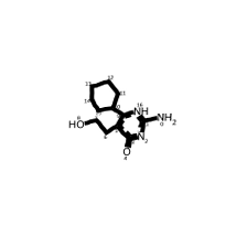 Nc1nc(=O)c(CCO)c(C2CCCCC2)[nH]1